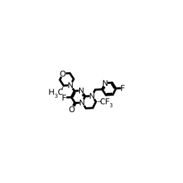 C[C@@H]1COCCN1c1nc2n(c(=O)c1F)CC[C@@H](C(F)(F)F)N2Cc1ccc(F)cn1